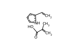 C=C(C)C(=O)O.C=Cc1ccc[nH]1